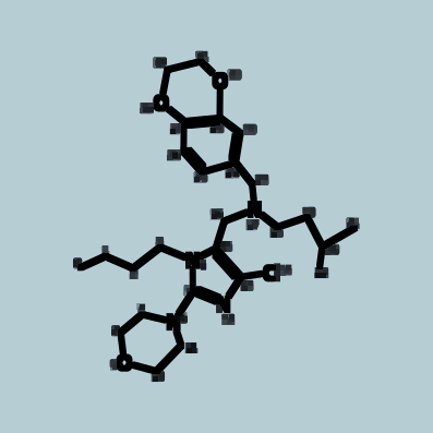 CCCCn1c(N2CCOCC2)nc(Cl)c1CN(CCC(C)C)Cc1ccc2c(c1)OCCO2